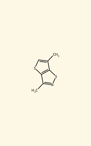 Cc1csc2c(C)nsc12